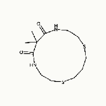 CC1(C)C(=O)NCCSCCCSCCNC1=O